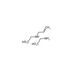 C=CCNCC(=O)O.NCC(=O)O